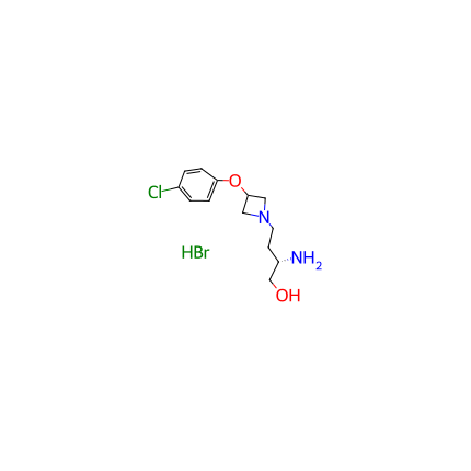 Br.N[C@H](CO)CCN1CC(Oc2ccc(Cl)cc2)C1